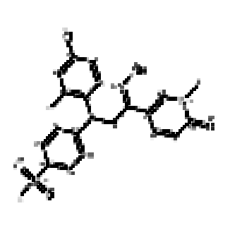 Cc1cc(Cl)ccc1C(C/C(=N/O)c1ccc(=O)n(C)c1)c1ccc(S(C)(=O)=O)cc1